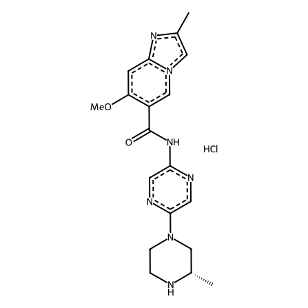 COc1cc2nc(C)cn2cc1C(=O)Nc1cnc(N2CCN[C@@H](C)C2)cn1.Cl